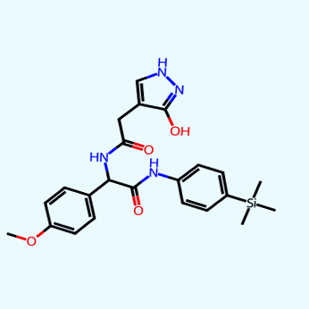 COc1ccc(C(NC(=O)Cc2c[nH]nc2O)C(=O)Nc2ccc([Si](C)(C)C)cc2)cc1